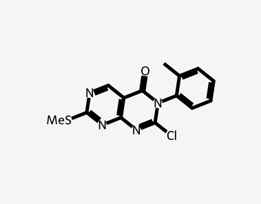 CSc1ncc2c(=O)n(-c3ccccc3C)c(Cl)nc2n1